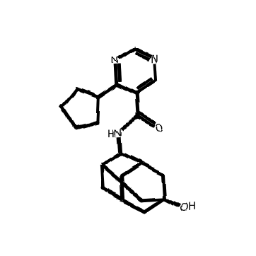 O=C(NC1C2CC3CC1CC(O)(C3)C2)c1cn[c]nc1C1CCCC1